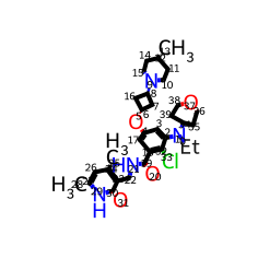 CCN(c1cc(O[C@H]2C[C@H](N3CCC(C)CC3)C2)cc(C(=O)NCc2c(C)cc(C)[nH]c2=O)c1Cl)C1CCOCC1